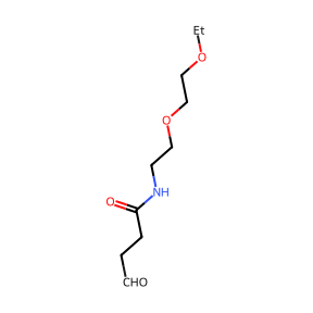 CCOCCOCCNC(=O)CCC=O